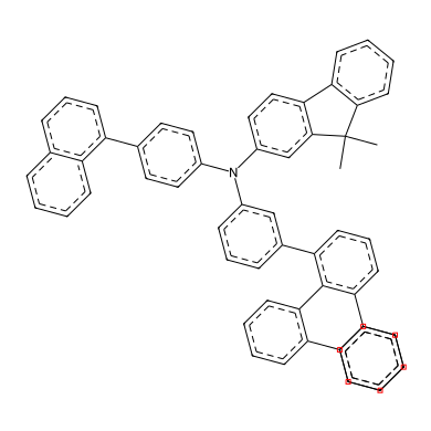 CC1(C)c2ccccc2-c2ccc(N(c3ccc(-c4cccc5ccccc45)cc3)c3cccc(-c4cccc(-c5ccccc5)c4-c4ccccc4-c4ccccc4)c3)cc21